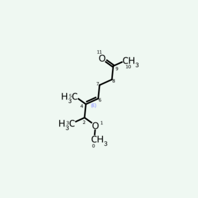 COC(C)/C(C)=C/CCC(C)=O